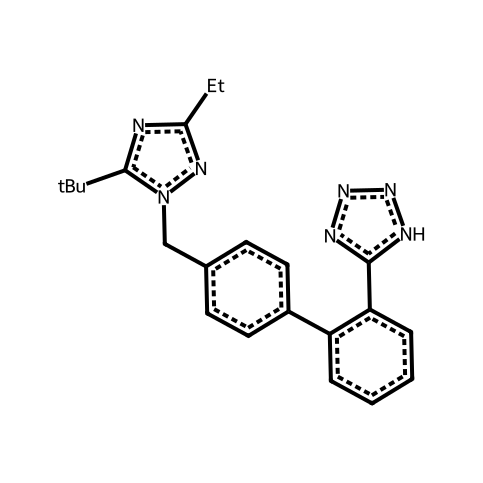 CCc1nc(C(C)(C)C)n(Cc2ccc(-c3ccccc3-c3nnn[nH]3)cc2)n1